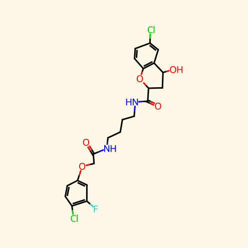 O=C(COc1ccc(Cl)c(F)c1)NCCCCNC(=O)C1CC(O)c2cc(Cl)ccc2O1